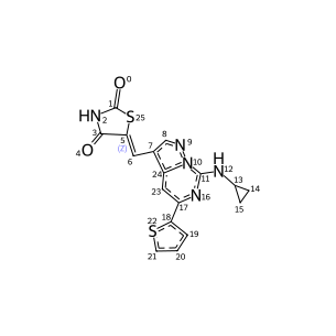 O=C1NC(=O)/C(=C/c2cnn3c(NC4CC4)nc(-c4cccs4)cc23)S1